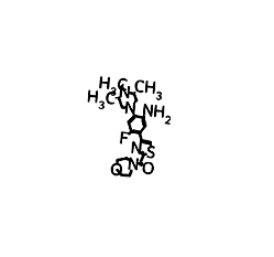 C[C@@H]1CN(c2cc(F)c(-c3csc(C(=O)N4CCOCC4)n3)cc2N)C[C@H](C)N1C